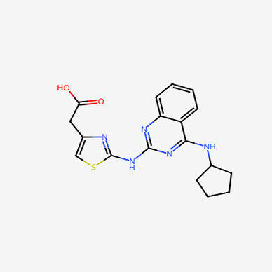 O=C(O)Cc1csc(Nc2nc(NC3CCCC3)c3ccccc3n2)n1